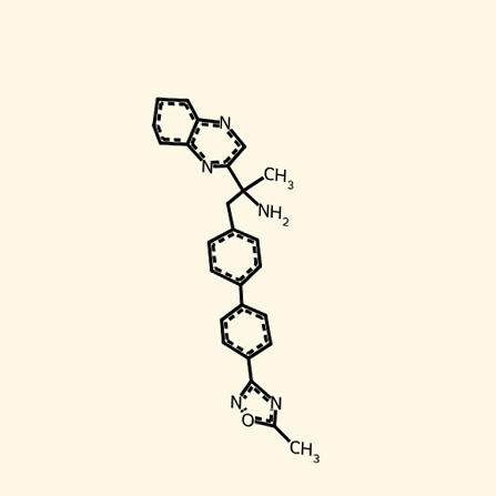 Cc1nc(-c2ccc(-c3ccc(CC(C)(N)c4cnc5ccccc5n4)cc3)cc2)no1